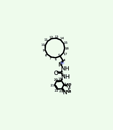 O=C(N/N=C/C1CCCCCCCCCCCC1)Nc1cccc2nsnc12